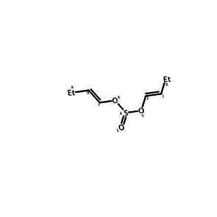 CCC=COS(=O)OC=CCC